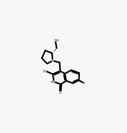 CCc1[nH]c(=O)c2cc(F)ccc2c1CN1CCC[C@@H]1CO